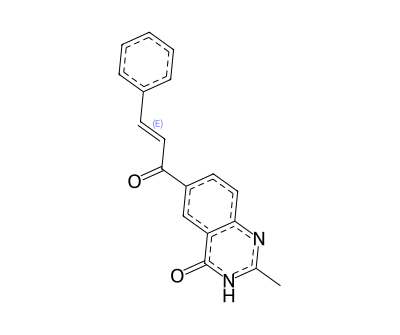 Cc1nc2ccc(C(=O)/C=C/c3ccccc3)cc2c(=O)[nH]1